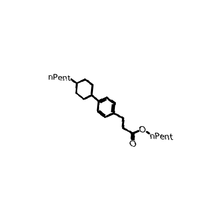 CCCCCOC(=O)CCc1ccc(C2CCC(CCCCC)CC2)cc1